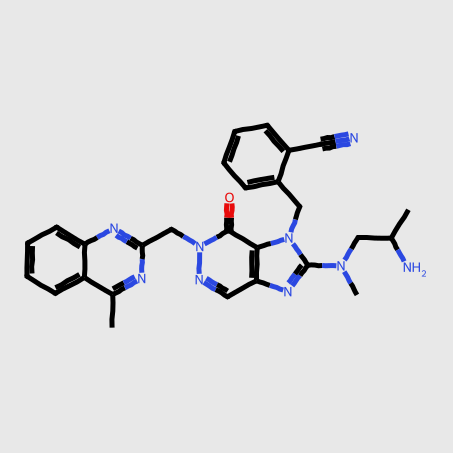 Cc1nc(Cn2ncc3nc(N(C)CC(C)N)n(Cc4ccccc4C#N)c3c2=O)nc2ccccc12